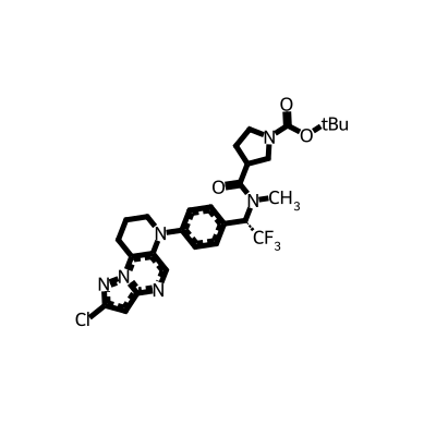 CN(C(=O)C1CCN(C(=O)OC(C)(C)C)C1)[C@@H](c1ccc(N2CCCc3c2cnc2cc(Cl)nn32)cc1)C(F)(F)F